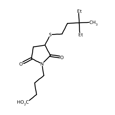 CCC(C)(CC)CCSC1CC(=O)N(CCCC(=O)O)C1=O